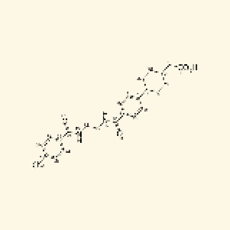 O=C(O)CC1CCC(c2ccc(C(=O)NCCNC(=O)c3ccc(Cl)cc3)cc2)CC1